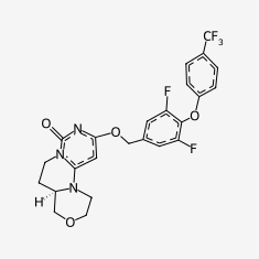 O=c1nc(OCc2cc(F)c(Oc3ccc(C(F)(F)F)cc3)c(F)c2)cc2n1CC[C@@H]1COCCN21